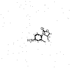 Cc1cc(N)ccc1N1C(=O)OC[C@H]1C